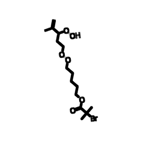 C=C(C)C(CCOOCCCCCOC(=O)C(C)(C)Br)OO